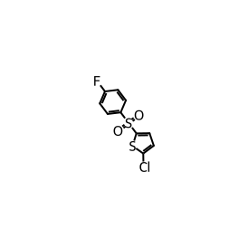 O=S(=O)(c1ccc(F)cc1)c1ccc(Cl)s1